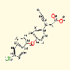 CC#CC(CC(=O)OC)c1ccc(OC2CCc3cc(Cl)ccc32)cc1